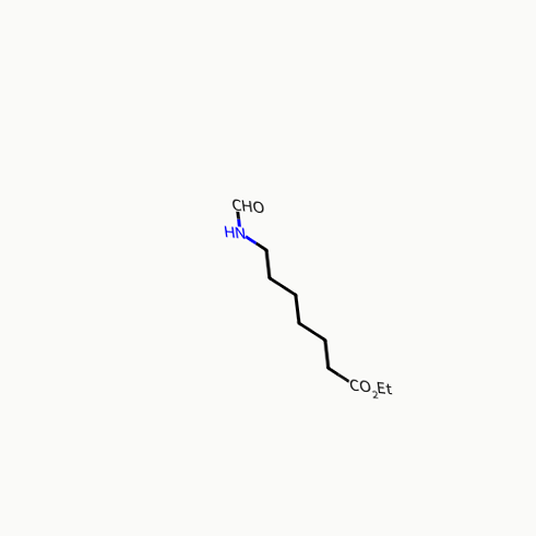 CCOC(=O)CCCCCCNC=O